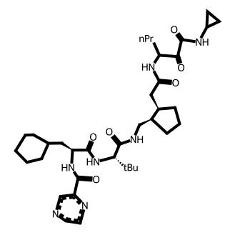 CCCC(NC(=O)C[C@H]1CCC[C@H]1CNC(=O)[C@@H](NC(=O)[C@H](CC1CCCCC1)NC(=O)c1cnccn1)C(C)(C)C)C(=O)C(=O)NC1CC1